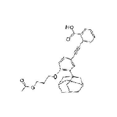 CC(=O)OCCCOc1ccc(C#Cc2ccccc2C(=O)O)cc1C12CC3CC(CC(C3)C1)C2